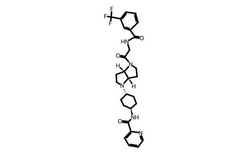 O=C(NCC(=O)N1CC[C@H]2[C@@H]1CCN2[C@H]1CC[C@H](NC(=O)c2ccccn2)CC1)c1cccc(C(F)(F)F)c1